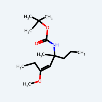 CCCC(C)(/C=C(\CC)OC)NC(=O)OC(C)(C)C